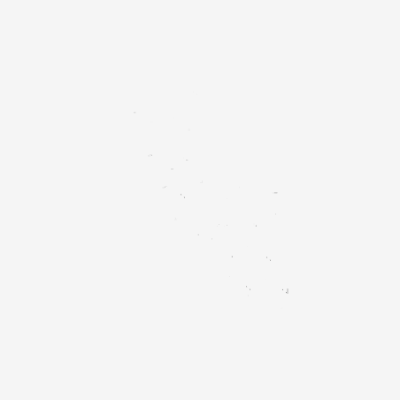 CNc1ncc2c(n1)-c1ccccc1C1(CCN(Cc3ccc(OC)c(OC)c3)CC1)C2